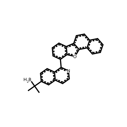 BC(C)(C)c1ccc2c(-c3cccc4c3oc3c5ccccc5ccc43)nccc2c1